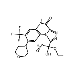 CCOC(O)([PH2]=O)c1nnc2c(=O)[nH]c3cc(C(F)(F)F)c(N4CCOCC4)cc3n12